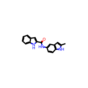 Cc1cc2cc(NC(=O)c3cc4ccccc4[nH]3)ccc2[nH]1